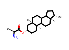 CC(=O)[C@H]1CCC2C3CC[C@@H]4C[C@@H](OC(=O)[C@@H](N)C(C)C)CC[C@]4(C)C3CC[C@@]21C